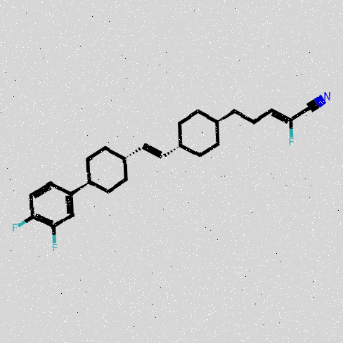 N#CC(F)=CCC[C@H]1CC[C@H](C=C[C@H]2CC[C@H](c3ccc(F)c(F)c3)CC2)CC1